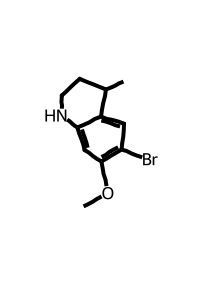 COc1cc2c(cc1Br)C(C)CCN2